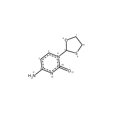 Nc1ccn(C2OCCS2)c(=O)n1